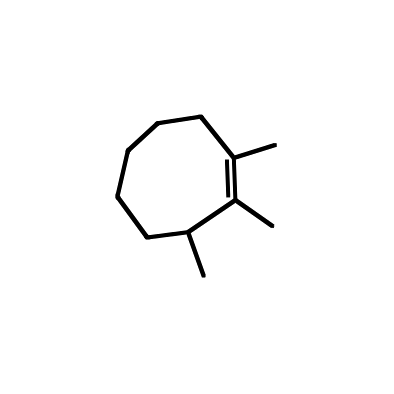 CC1=C(C)C(C)CCCCC1